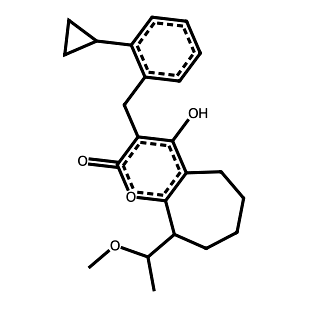 COC(C)C1CCCCc2c1oc(=O)c(Cc1ccccc1C1CC1)c2O